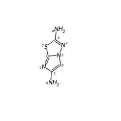 Nc1cn2nc(N)sc2n1